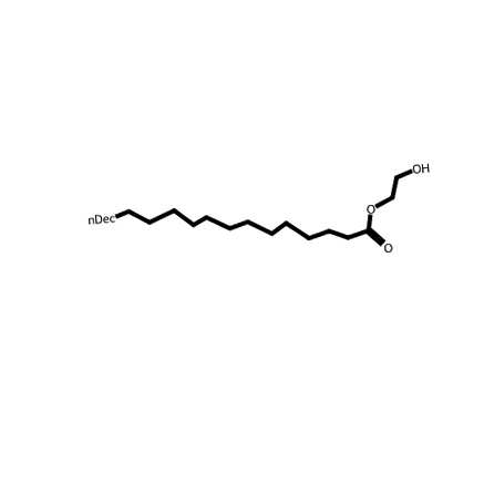 CCCCCCCCCCCCCCCCCCCCCCC(=O)OCCO